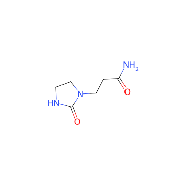 NC(=O)CCN1CCNC1=O